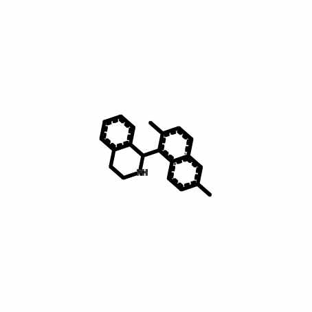 Cc1ccc2c(C3NCCc4ccccc43)c(C)ccc2c1